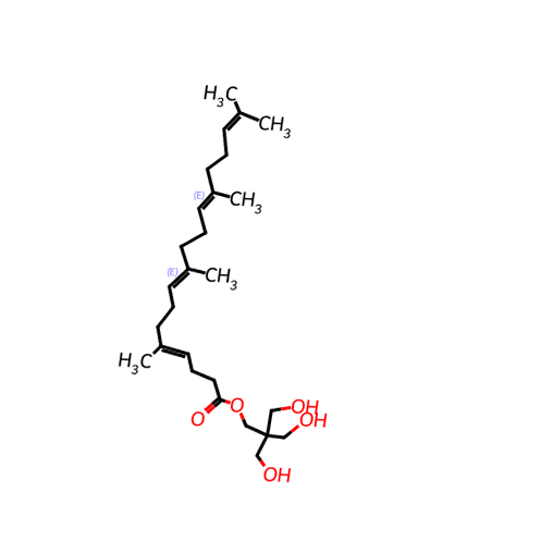 CC(C)=CCC/C(C)=C/CC/C(C)=C/CCC(C)=CCCC(=O)OCC(CO)(CO)CO